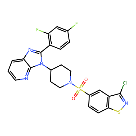 O=S(=O)(c1ccc2snc(Cl)c2c1)N1CCC(n2c(-c3ccc(F)cc3F)nc3cccnc32)CC1